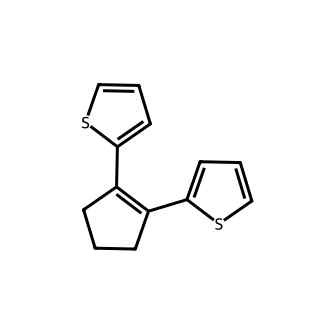 c1csc(C2=C(c3cccs3)CCC2)c1